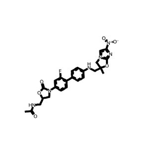 CC(=O)NCC1CN(c2ccc(-c3ccc(NCC4(C)Cn5cc([N+](=O)[O-])nc5O4)cc3)c(F)c2)C(=O)O1